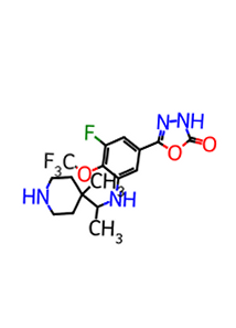 CC(Nc1cc(-c2n[nH]c(=O)o2)cc(F)c1OC(F)(F)F)C1(C)CCNCC1